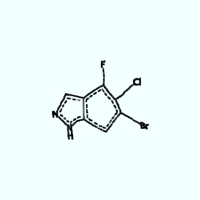 Fc1c(Cl)c(Br)cc2[nH]ncc12